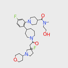 CN(CCO)C(=O)C1CCN(c2cc(F)ccc2C2CCCN(C(=O)C[C@@]3(F)CCN(C4CCOCC4)C3)CC2)CC1